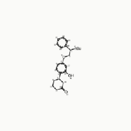 CCCCC(COc1ccc(C2CCCC(=O)C2)c(O)c1)c1ccccc1